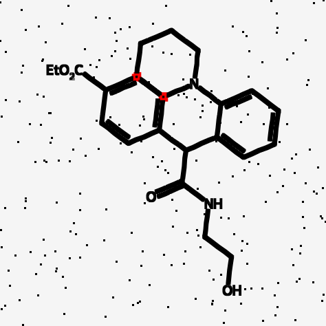 CCOC(=O)c1ccc(C(C(=O)NCCO)c2ccccc2N2CCCCC2)cc1